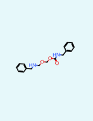 O=C(NCc1ccccc1)OCOCNCc1ccccc1